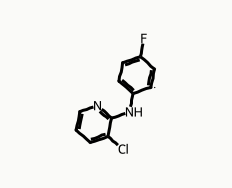 Fc1c[c]c(Nc2ncccc2Cl)cc1